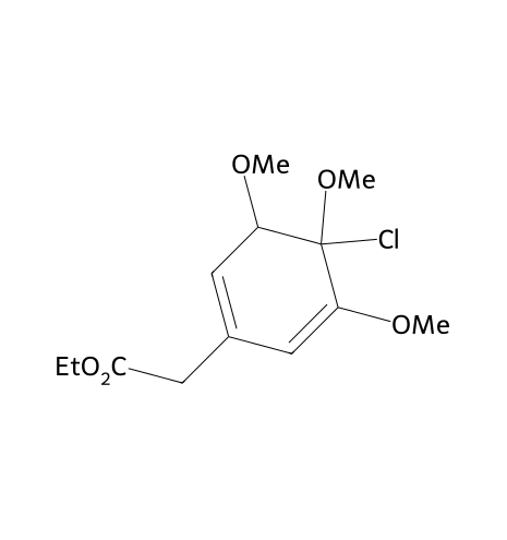 CCOC(=O)CC1=CC(OC)C(Cl)(OC)C(OC)=C1